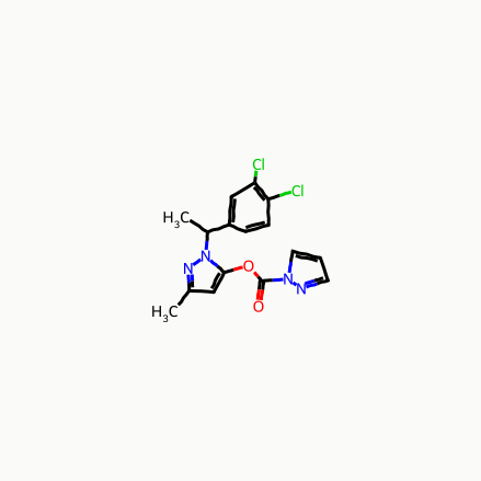 Cc1cc(OC(=O)n2cccn2)n(C(C)c2ccc(Cl)c(Cl)c2)n1